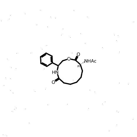 CC(=O)N[C@@H]1CCCCCC(=O)NC(c2ccccc2)COC1=O